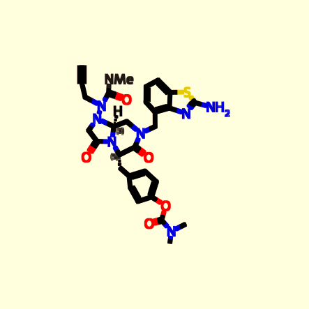 C#CCN(C(=O)NC)N1CC(=O)N2[C@@H](Cc3ccc(OC(=O)N(C)C)cc3)C(=O)N(Cc3cccc4sc(N)nc34)C[C@@H]21